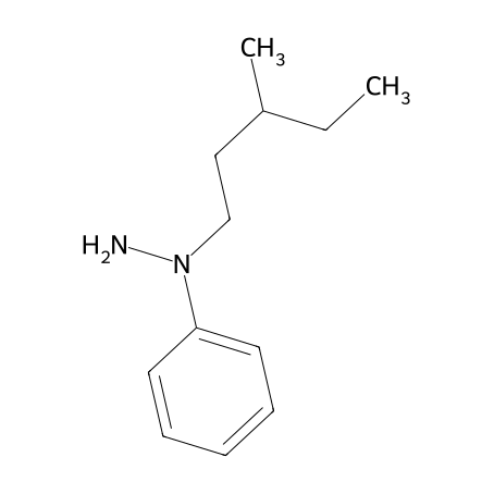 CCC(C)CCN(N)c1ccccc1